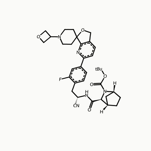 CC(C)(C)OC(=O)N1[C@@H]2CC[C@@H](C2)[C@H]1C(=O)N[C@H](C#N)Cc1ccc(-c2ccc3c(n2)C2(CCN(C4COC4)CC2)OC3)cc1F